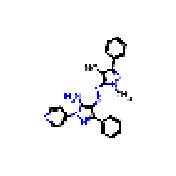 Cn1nc(-c2ccccc2)c(C#N)c1/N=N/c1c(-c2ccccc2)nn(-c2ccncc2)c1N